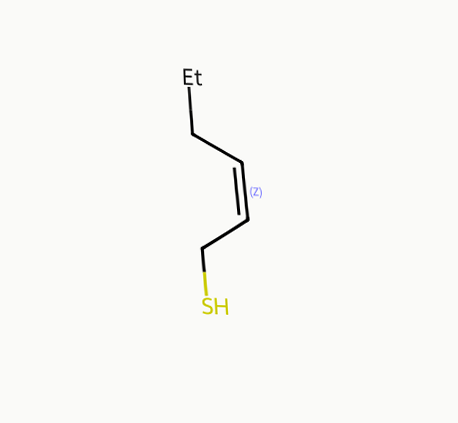 CCC/C=C\CS